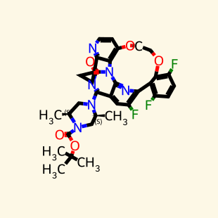 C[C@H]1CN(c2nc(=O)n3c4nc(c(F)cc24)-c2c(F)ccc(F)c2OCCOc2ccnc(C4CC4)c2-3)[C@@H](C)CN1C(=O)OC(C)(C)C